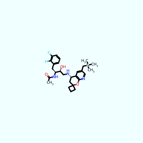 CC(=O)N[C@@H](Cc1cccc(F)c1F)[C@@H](O)CN[C@H]1CC2(CCC2)Oc2ncc(C[Si](C)(C)C)cc21